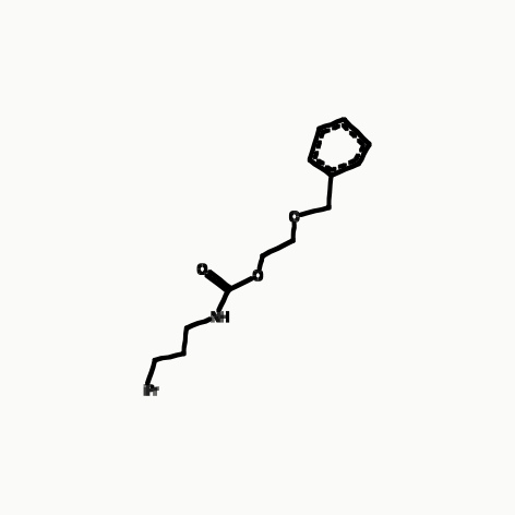 CC(C)CCCNC(=O)OCCOCc1ccccc1